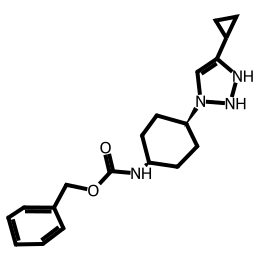 O=C(N[C@H]1CC[C@H](N2C=C(C3CC3)NN2)CC1)OCc1ccccc1